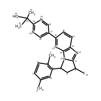 Cc1ccc(C)c(C2CC(F)c3nc4ccc(-c5cnc(C(C)(C)O)nc5)nc4n32)c1